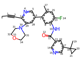 CC#Cc1ncc(-c2cc(NC(=O)c3cncc(C4(C)CC4)c3)c(F)cc2C)cc1N1CCOCC1